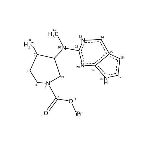 CC(C)OC(=O)N1CCC(C)C(N(C)c2ncc3cc[nH]c3n2)C1